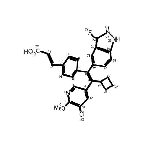 COc1ncc(/C(=C(\c2ccc(/C=C/C(=O)O)cc2)c2ccc3c(c2)C(F)NN3)C2CCC2)cc1Cl